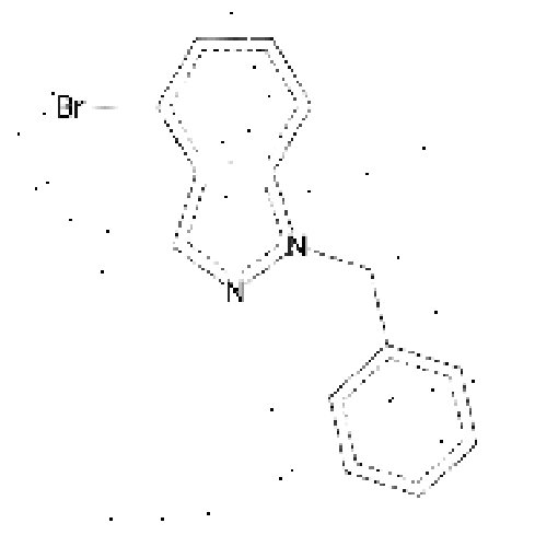 Brc1cccc2c1cnn2Cc1ccccc1